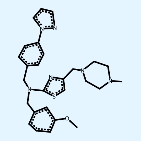 COc1cccc(CN(Cc2ccc(-n3cccn3)cc2)c2nc(CN3CCN(C)CC3)cs2)c1